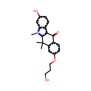 Cn1c2c(c3ccc(O)cc31)C(=O)c1ccc(OCCCO)cc1C2(C)C